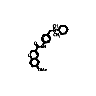 COc1ccc2c(c1)C=C(C(=O)Nc1ccc(C[N+](C)(C)C3CCCCC3)cc1)CO2